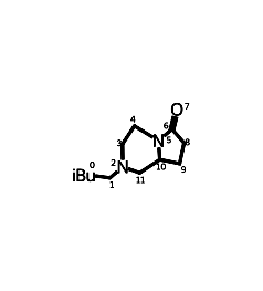 CCC(C)CN1CCN2C(=O)CCC2C1